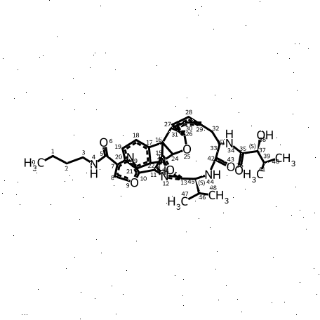 CCCCNC(=O)c1coc(-c2nc3oc2C24c5ccccc5NC2Oc2ccc(cc24)C[C@H](NC(=O)[C@@H](O)C(C)C)C(=O)N[C@H]3C(C)C)n1